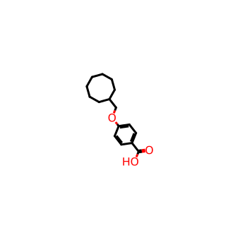 O=C(O)c1ccc(OCC2CCCCCCC2)cc1